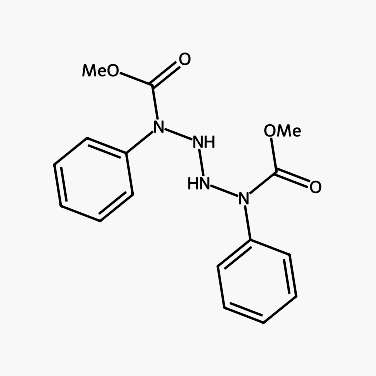 COC(=O)N(NNN(C(=O)OC)c1ccccc1)c1ccccc1